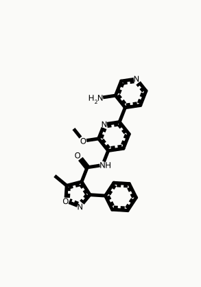 COc1nc(-c2ccncc2N)ccc1NC(=O)c1c(-c2ccccc2)noc1C